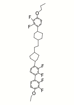 CCCOc1ccc(C2CCC(CCC3CCC(c4ccc(-c5ccc(OCC)c(F)c5F)c(F)c4F)CC3)CC2)c(F)c1F